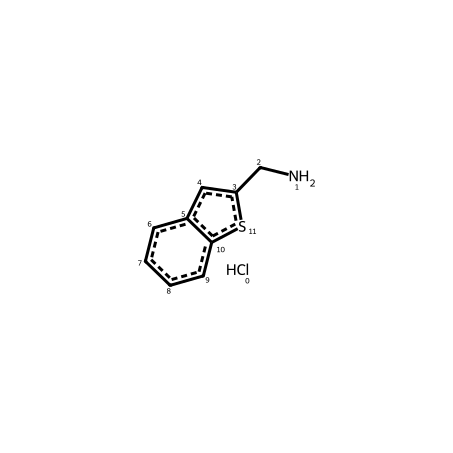 Cl.NCc1cc2ccccc2s1